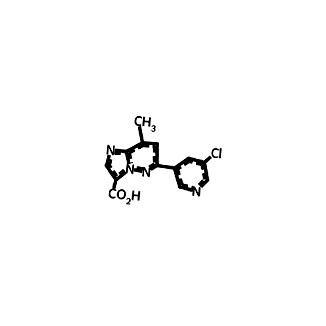 Cc1cc(-c2cncc(Cl)c2)nn2c(C(=O)O)cnc12